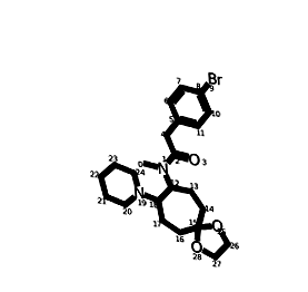 CN(C(=O)Cc1ccc(Br)cc1)C1CCC2(CCC1N1CCCCC1)OCCO2